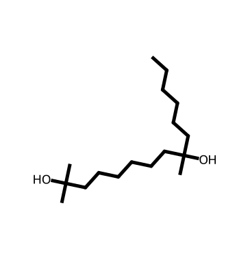 CCCCCCC(C)(O)CCCCCCC(C)(C)O